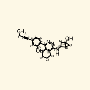 CCC#Cc1ccc(-c2nnc(NC3C[C@@]4(O)CC34)c3c2CCCC3)c(O)c1